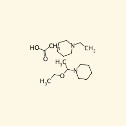 CC(=O)O.CCN1CCCCC1.CCOC(C)N1CCCCC1